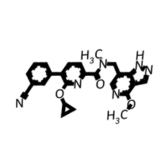 COc1ncc(CN(C)C(=O)c2ccc(-c3cccc(C#N)c3)c(OC3CC3)n2)c2[nH]ncc12